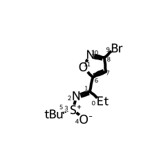 CC/C(=N\[S@+]([O-])C(C)(C)C)c1cc(Br)no1